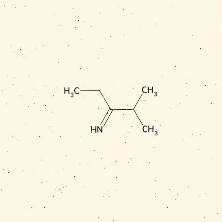 CCC(=N)C(C)C